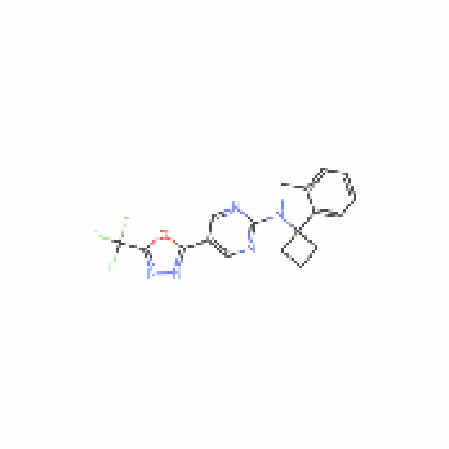 Cc1ccccc1C1(Nc2ncc(-c3nnc(C(F)(F)F)o3)cn2)CCC1